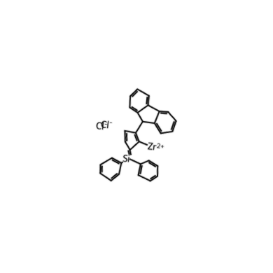 [Cl-].[Cl-].[Zr+2][C]1=C(C2c3ccccc3-c3ccccc32)C=CC1=[Si](c1ccccc1)c1ccccc1